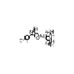 [2H]C([2H])([2H])c1cc(CNC(=O)Cc2nc(-c3ccc(Cl)c(F)c3)nn2CC)cc(C([2H])([2H])[2H])n1